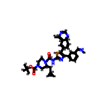 C/N=C\c1cccc(-c2nc(NC(=O)N3CCN(C(=O)OC(C)(C)C)CC3CC3CC3)sc2-c2ccc3ncnc(C)c3c2)c1